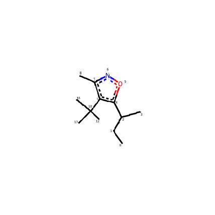 CCC(C)c1onc(C)c1C(C)(C)C